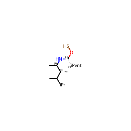 CCC[C@@H](C)[C@H](N[C@H](C)[C@H](C)C(C)C(C)C)OS